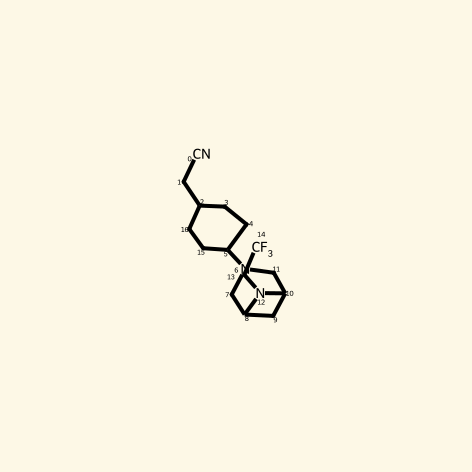 N#CCC1CCC(N2CC3CC(C2)N3CC(F)(F)F)CC1